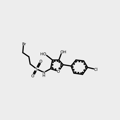 O=S(=O)(CCCBr)Nc1oc(-c2ccc(Cl)cc2)c(O)c1O